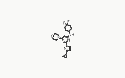 FC1(F)CCC(Nc2cc(N3CCOCC3)nc(-n3ccc(C4CC4)n3)n2)CC1